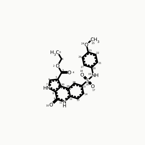 CCOC(=O)c1c[nH]c2c(=O)[nH]c3ccc(S(=O)(=O)Nc4ccc(OC)cc4)cc3c12